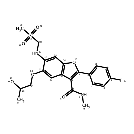 CNC(=O)c1c(-c2ccc(F)cc2)oc2cc(NCS(C)(=O)=O)c(OCC(C)O)cc12